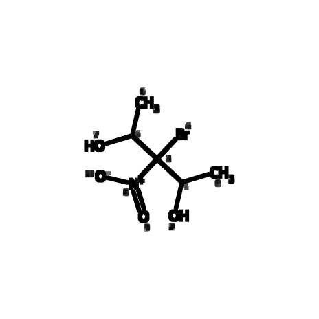 CC(O)C(Br)(C(C)O)[N+](=O)[O-]